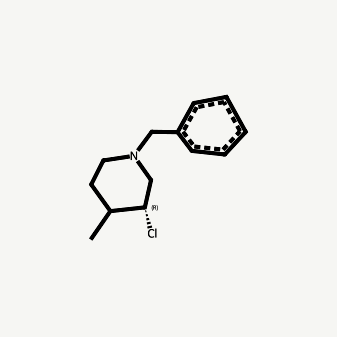 CC1CCN(Cc2ccccc2)C[C@@H]1Cl